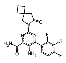 NC(=O)c1nc(N2CC3(CCC3)CC2=O)nc(-c2ccc(F)c(Cl)c2F)c1N